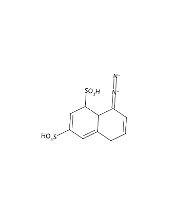 [N-]=[N+]=C1C=CCC2=CC(S(=O)(=O)O)=CC(S(=O)(=O)O)C21